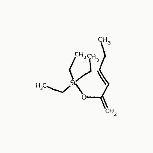 C=C(C=CCC)O[Si](CC)(CC)CC